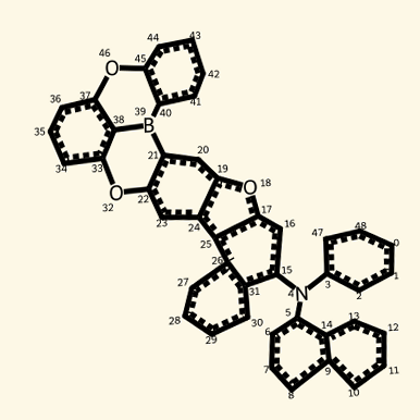 c1ccc(N(c2cccc3ccccc23)c2cc3oc4cc5c(cc4c3c3ccccc23)Oc2cccc3c2B5c2ccccc2O3)cc1